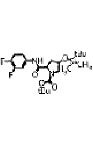 CC(C)(C)OC(=O)N1CC(O[Si](C)(C)C(C)(C)C)CC1C(=O)Nc1ccc(F)c(F)c1